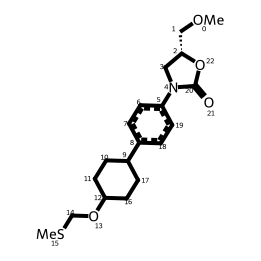 COC[C@H]1CN(c2ccc(C3CCC(OCSC)CC3)cc2)C(=O)O1